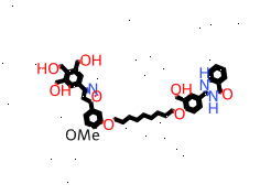 COc1ccc(C2CC(c3cc(CO)c(CO)c(CO)c3)=NO2)cc1OCCCCCCCCCOc1ccc(C2NC(=O)c3ccccc3N2)cc1CO